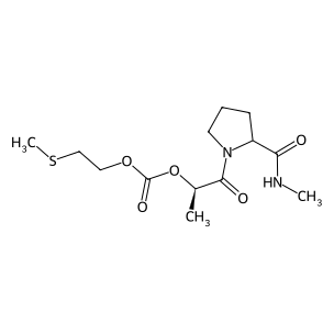 CNC(=O)C1CCCN1C(=O)[C@@H](C)OC(=O)OCCSC